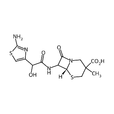 CC1(C(=O)O)CS[C@@H]2C(NC(=O)C(O)c3csc(N)n3)C(=O)N2C1